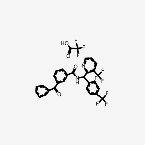 O=C(NC(c1ccc(C(F)(F)F)cc1)c1ncccc1C(F)(F)F)c1cccc(C(=O)c2ccccc2)c1.O=C(O)C(F)(F)F